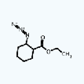 CCOC(=O)C1CCCCC1N=[N+]=[N-]